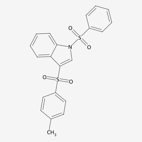 Cc1ccc(S(=O)(=O)c2cn(S(=O)(=O)c3ccccc3)c3ccccc23)cc1